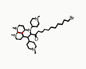 CN1CCC(C(C2CCN(C)CC2)C(C(=O)CCCCCCCCCCBr)N(C2CCN(C)CC2)C2CCN(C)CC2)CC1